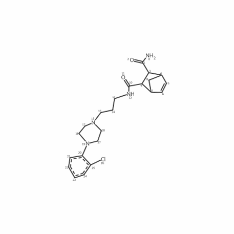 NC(=O)C1C2C=CC(C2)C1C(=O)NCCCN1CCN(c2ccccc2Cl)CC1